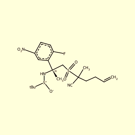 C=CCCC(C)(C#N)S(=O)(=O)C[C@](C)(N[S+]([O-])C(C)(C)C)c1cc([N+](=O)[O-])ccc1F